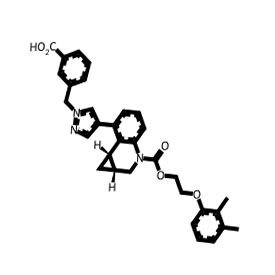 Cc1cccc(OCCOC(=O)N2C[C@@H]3C[C@@H]3c3c(-c4cnn(Cc5cccc(C(=O)O)c5)c4)cccc32)c1C